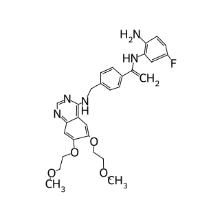 C=C(Nc1cc(F)ccc1N)c1ccc(CNc2ncnc3cc(OCCOC)c(OCCOC)cc23)cc1